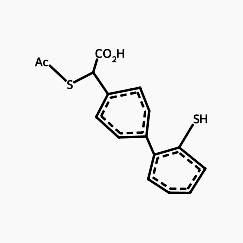 CC(=O)SC(C(=O)O)c1ccc(-c2ccccc2S)cc1